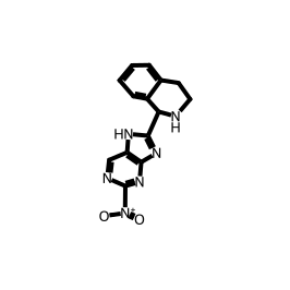 O=[N+]([O-])c1ncc2[nH]c(C3NCCc4ccccc43)nc2n1